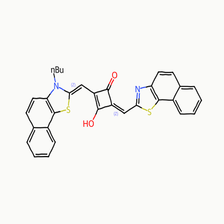 CCCCN1/C(=C/C2=C(O)C(=C/c3nc4ccc5ccccc5c4s3)/C2=O)Sc2c1ccc1ccccc21